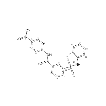 O=C(Nc1ccc([N+](=O)[O-])cc1)c1cccc(S(=O)(=O)Nc2ccccc2)c1